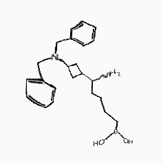 NC(CCCCB(O)O)C1CC(N(Cc2ccccc2)Cc2ccccc2)C1